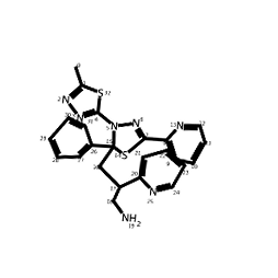 Cc1nnc(N2N=C(c3ccccn3)SC2(CC(CN)c2ccccn2)c2ccccc2)s1